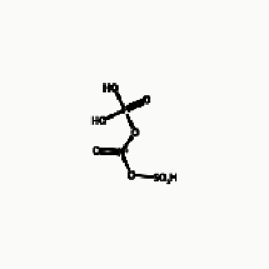 O=[N+](OP(=O)(O)O)OS(=O)(=O)O